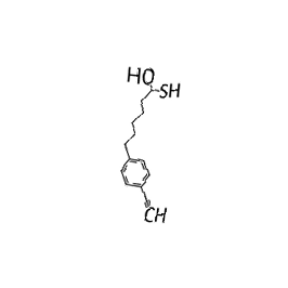 C#Cc1ccc(CCCCCC(O)S)cc1